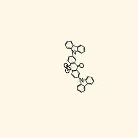 O=C1c2cc(-n3c4ccccc4c4ccccc43)ccc2S(=O)(=O)c2ccc(-n3c4ccccc4c4ccccc43)cc21